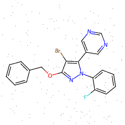 Fc1ccccc1-n1nc(OCc2ccccc2)c(Br)c1-c1cncnc1